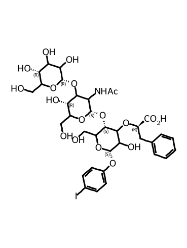 CC(=O)NC1C(O[C@@H]2OC(CO)[C@H](O)C(O)C2O)[C@@H](O)C(CO)O[C@H]1O[C@H]1C(CO)O[C@@H](Oc2ccc(I)cc2)C(O)C1O[C@H](Cc1ccccc1)C(=O)O